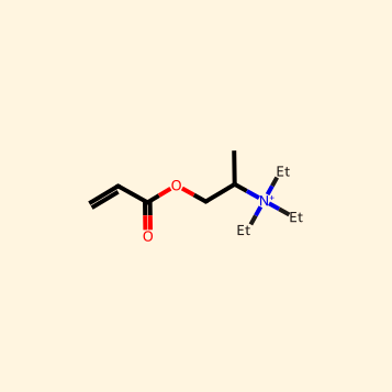 C=CC(=O)OCC(C)[N+](CC)(CC)CC